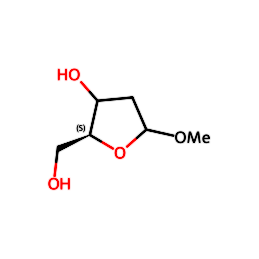 COC1CC(O)[C@H](CO)O1